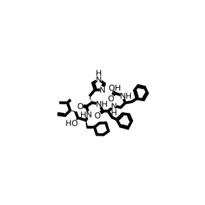 C=C[C@@H](C[C@H](O)[C@H](CC1CCCCC1)NC(=O)[C@H](Cc1c[nH]cn1)NC(=O)C(Cc1ccccc1)NCC(Cc1ccccc1)NC(=O)O)C(C)C